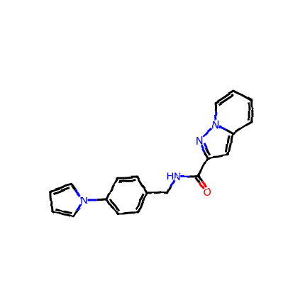 O=C(NCc1ccc(-n2cccc2)cc1)c1cc2ccccn2n1